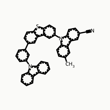 Cc1ccc2c(c1)c1cc(C#N)ccc1n2-c1ccc2sc3ccc(-c4cccc(-n5c6ccccc6c6ccccc65)c4)cc3c2c1